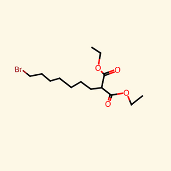 CCOC(=O)C(CCCCCCCBr)C(=O)OCC